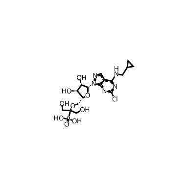 O=P(O)(O)C(CO)(CO)OC[C@H]1O[C@@H](n2ncc3c(NCC4CC4)nc(Cl)nc32)[C@H](O)[C@@H]1O